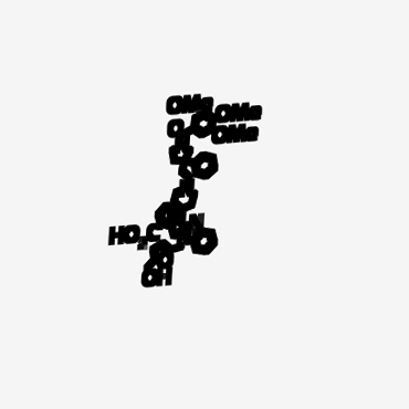 COc1cc(C(=O)N2CCC(CCN3CCC(NC4=Nc5ccccc5[N+]4(Cc4ccc(CO)o4)Cc4ccccc4C(=O)O)CC3)(c3ccccc3)C2)cc(OC)c1OC